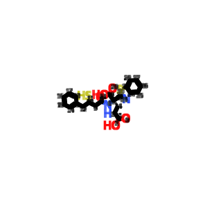 O=C(O)CC[C@](NC(=O)CC(S)Cc1ccccc1)(C(=O)O)c1nc2ccccc2s1